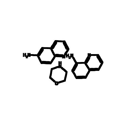 C1COCCN1.Nc1ccc2ncccc2c1.Nc1cccc2cccnc12